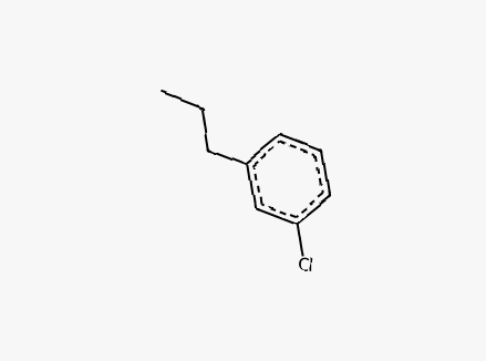 CCCc1cccc(Cl)c1